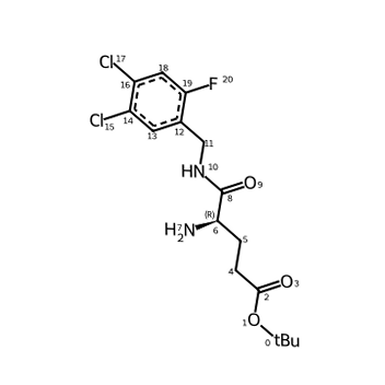 CC(C)(C)OC(=O)CC[C@@H](N)C(=O)NCc1cc(Cl)c(Cl)cc1F